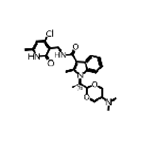 Cc1cc(Cl)c(CNC(=O)c2c(C)n([C@H](C)C3OCC(N(C)C)CO3)c3ccccc23)c(=O)[nH]1